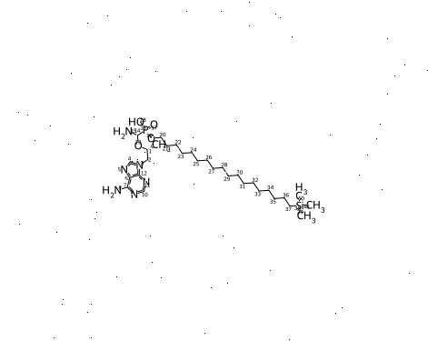 C[C@H](Cn1cnc2c(N)ncnc21)OC(N)P(=O)(O)OCCCCCCCCCCCCCCCCCC[Si](C)(C)C